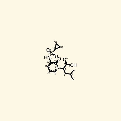 CC(C)CC(C(=O)O)n1cccc(NS(=O)(=O)C2CC2)c1=O